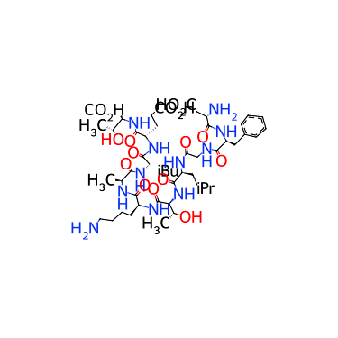 CC[C@H](C)[C@H](NC(=O)[C@H](C)NC(=O)[C@H](CCCCN)NC(=O)[C@@H](NC(=O)[C@H](CC(C)C)NC(=O)CNC(=O)[C@H](Cc1ccccc1)NC(=O)[C@@H](N)CC(=O)O)[C@@H](C)O)C(=O)N[C@@H](CCC(=O)O)C(=O)N[C@H](C(=O)O)[C@@H](C)O